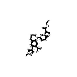 CCOC(=O)c1cnc2ccc(N3CCCc4cc(-c5cnn(C)c5)c(C(F)F)cc43)nn12